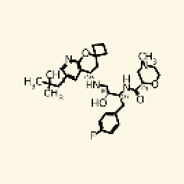 CN1CCO[C@@H](C(=O)N[C@@H](Cc2ccc(F)cc2)[C@H](O)CN[C@H]2CC3(CCC3)Oc3ncc(CC(C)(C)C)cc32)C1